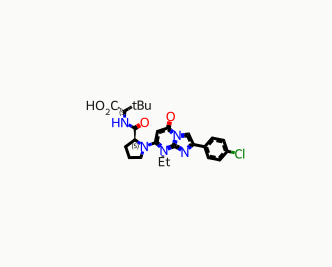 CCn1c(N2CCC[C@H]2C(=O)N[C@H](C(=O)O)C(C)(C)C)cc(=O)n2cc(-c3ccc(Cl)cc3)nc12